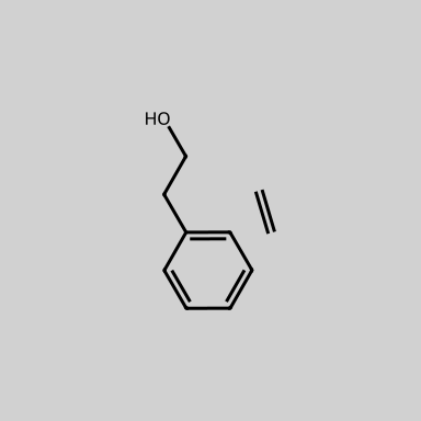 C=C.OCCc1ccccc1